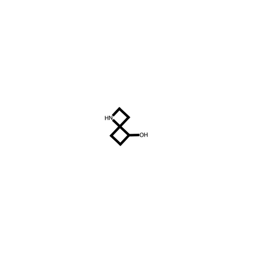 OC1CCC12CCN2